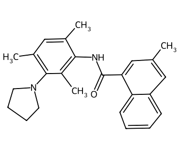 Cc1cc(C(=O)Nc2c(C)cc(C)c(N3CCCC3)c2C)c2ccccc2c1